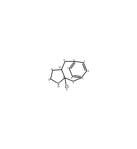 ClC12Cc3ccc(cc3)CC1CCS2